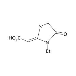 CCN1C(=O)CSC1=CC(=O)O